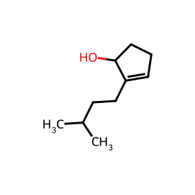 CC(C)CCC1=CCCC1O